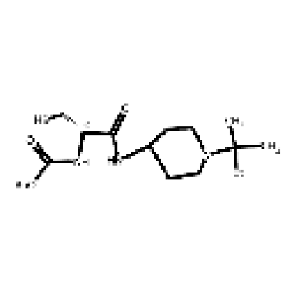 CCC(C)(C)N1CCC(NC(=O)[C@@H](CS)NC(=O)OCC(C)C)CC1